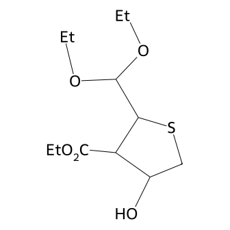 CCOC(=O)C1C(O)CSC1C(OCC)OCC